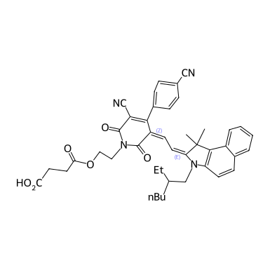 CCCCC(CC)CN1/C(=C/C=C2\C(=O)N(CCOC(=O)CCC(=O)O)C(=O)C(C#N)=C2c2ccc(C#N)cc2)C(C)(C)c2c1ccc1ccccc21